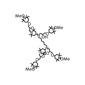 CON1C(C)(C)CC(OCC(O)CN(CCCCCCN(CC(O)COC2CC(C)(C)N(OC)C(C)(C)C2)C2CC(C)(C)N3CC(COC4CC(C)(C)N(OC)C(C)(C)C4)OC3(C)C2)C2CC(C)(C)N3CC(COC4CC(C)(C)N(OC)C(C)(C)C4)OC3(C)C2)CC1(C)C